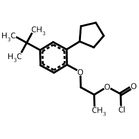 CC(COc1ccc(C(C)(C)C)cc1C1CCCC1)OC(=O)Cl